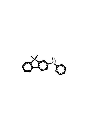 CC1(C)c2ccccc2-c2ccc([SiH2]c3ccccc3)cc21